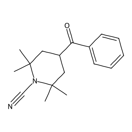 CC1(C)CC(C(=O)c2ccccc2)CC(C)(C)N1C#N